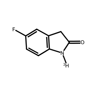 [2H]N1C(=O)Cc2cc(F)ccc21